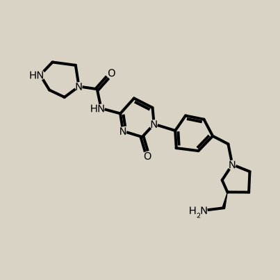 NC[C@@H]1CCN(Cc2ccc(-n3ccc(NC(=O)N4CCNCC4)nc3=O)cc2)C1